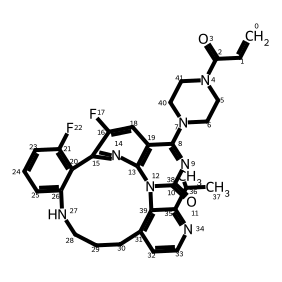 C=CC(=O)N1CCN(c2nc(=O)n3c4nc(c(F)cc24)-c2c(F)cccc2NCCCc2ccnc(C(C)C)c2-3)CC1